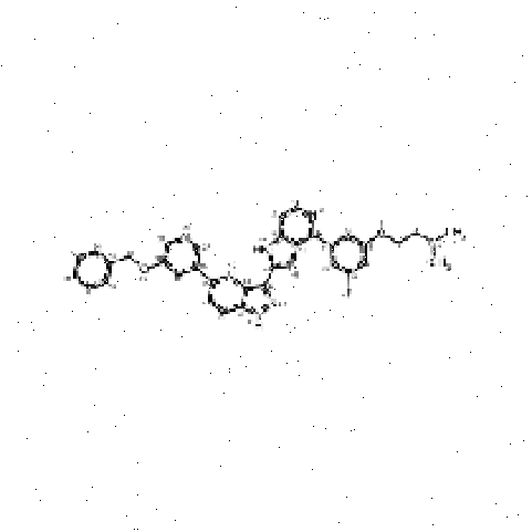 CN(C)CCOc1cc(F)cc(-c2nccc3[nH]c(-c4n[nH]c5ccc(-c6cncc(OCc7ccccc7)c6)nc45)nc23)c1